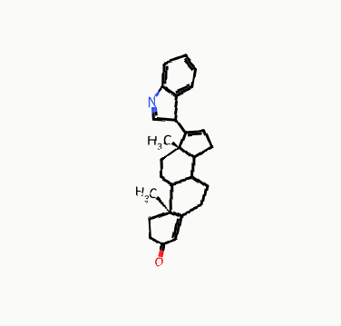 C[C@]12CCC(=O)C=C1CCC1C2CC[C@]2(C)C(C3C=Nc4ccccc43)=CCC12